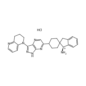 Cl.N[C@@H]1c2ccccc2CC12CCC(c1cnc3c(N4CCCc5ncccc54)n[nH]c3n1)CC2